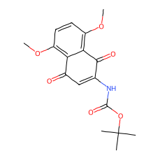 COc1ccc(OC)c2c1C(=O)C=C(NC(=O)OC(C)(C)C)C2=O